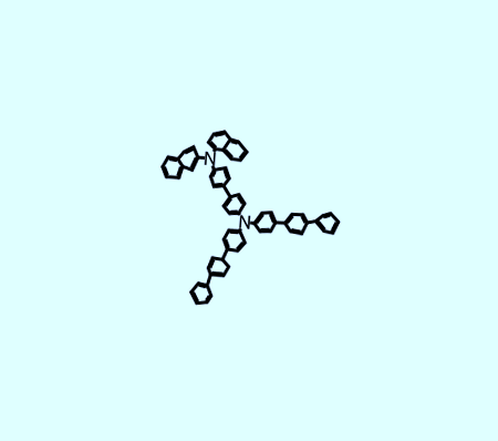 C1=CC(c2ccc(N(c3ccc(-c4ccc(-c5ccccc5)cc4)cc3)c3ccc(-c4ccc(N(c5ccc6ccccc6c5)c5cccc6ccccc56)cc4)cc3)cc2)CC=C1c1ccccc1